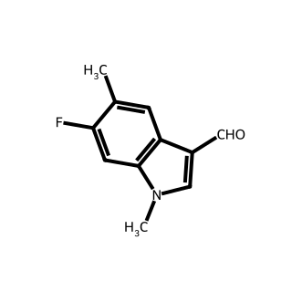 Cc1cc2c(C=O)cn(C)c2cc1F